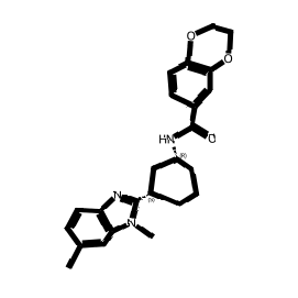 Cc1ccc2nc([C@H]3CCC[C@@H](NC(=O)c4ccc5c(c4)OCCO5)C3)n(C)c2c1